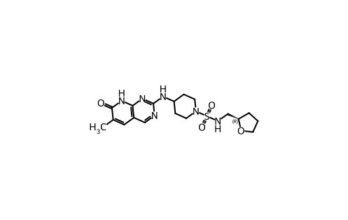 Cc1cc2cnc(NC3CCN(S(=O)(=O)NC[C@H]4CCCO4)CC3)nc2[nH]c1=O